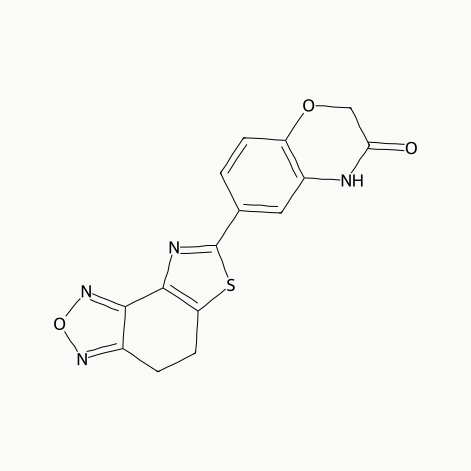 O=C1COc2ccc(-c3nc4c(s3)CCc3nonc3-4)cc2N1